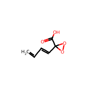 C=CC=CC1(C(=O)O)OO1